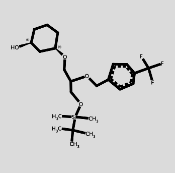 CC(C)(C)[Si](C)(C)OCC(CO[C@@H]1CCC[C@H](O)C1)OCc1ccc(C(F)(F)F)cc1